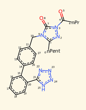 CCCCCc1nn(C(=O)CCC)c(=O)n1Cc1ccc(-c2ccccc2-c2nnn[nH]2)cc1